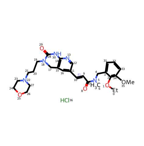 CCOc1c(CN(C)C(=O)/C=C/c2cnc3c(c2)CN(CCCN2CCOCC2)C(=O)N3)cccc1OC.Cl